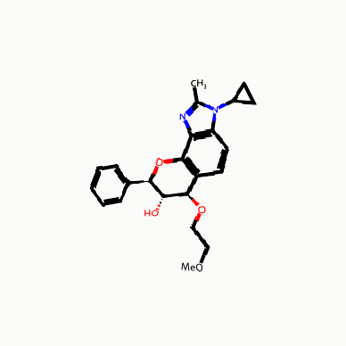 COCCO[C@@H]1c2ccc3c(nc(C)n3C3CC3)c2O[C@H](c2ccccc2)[C@H]1O